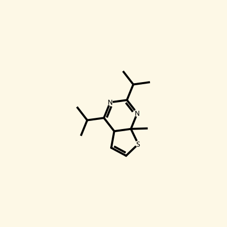 CC(C)C1=NC2(C)SC=CC2C(C(C)C)=N1